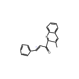 Cc1cc2ccccc2nc1C(=O)/C=C/c1ccccc1